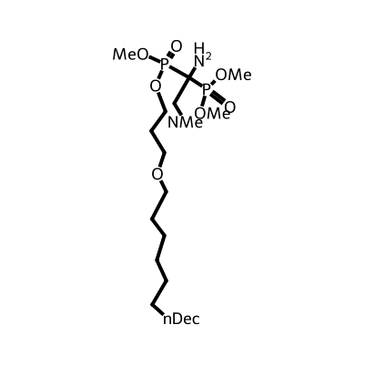 CCCCCCCCCCCCCCCCOCCCOP(=O)(OC)C(N)(CNC)P(=O)(OC)OC